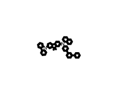 CC1(C)c2cc(N(c3ccc(-c4cccc(-c5ccccc5)c4)cc3)c3cccc4ccccc34)ccc2-c2ccc(-n3c4ccccc4c4ccccc43)cc21